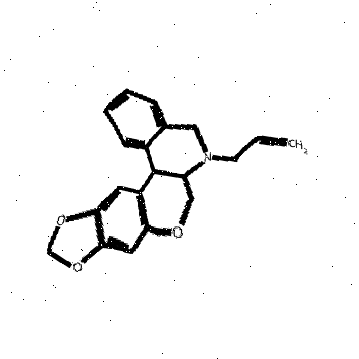 C=CCN1Cc2ccccc2C2c3cc4c(cc3OCC21)OCO4